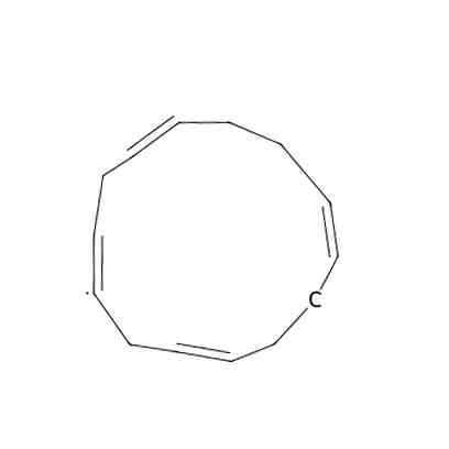 [C]1=CCC=CCCC=CCCC=CC1